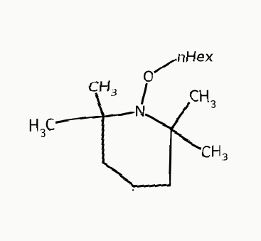 CCCCCCON1C(C)(C)C[CH]CC1(C)C